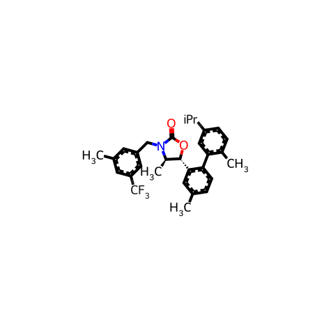 Cc1cc(CN2C(=O)O[C@H](c3cc(C)ccc3-c3cc(C(C)C)ccc3C)[C@H]2C)cc(C(F)(F)F)c1